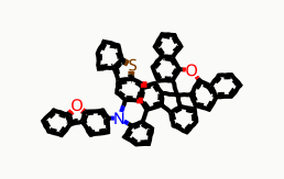 c1ccc(N(c2ccc3c(c2)oc2ccccc23)c2ccc3sc4ccccc4c3c2)c(-c2cccc3c2-c2ccccc2C32c3ccc4ccccc4c3Oc3c2ccc2ccccc32)c1